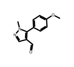 COc1ccc(-c2c(C=O)cnn2C)cc1